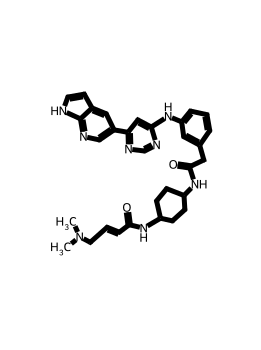 CN(C)CC=CC(=O)NC1CCC(NC(=O)Cc2cccc(Nc3cc(-c4cnc5[nH]ccc5c4)ncn3)c2)CC1